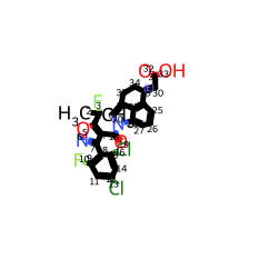 CC(C)(F)c1onc(-c2c(F)cc(Cl)cc2Cl)c1C(=O)n1cc2c3c(cccc31)/C(=C/C(=O)O)CC2